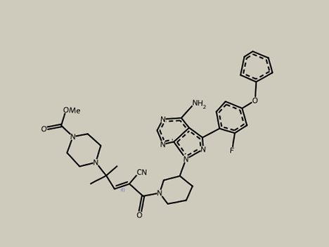 COC(=O)N1CCN(C(C)(C)/C=C(\C#N)C(=O)N2CCCC(n3nc(-c4ccc(Oc5ccccc5)cc4F)c4c(N)ncnc43)C2)CC1